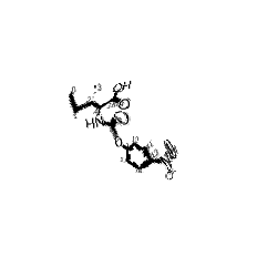 CC[C@H](C)[C@H](NC(=O)Oc1ccc([N+](=O)[O-])cc1)C(=O)O